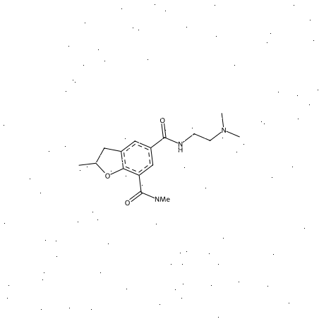 CNC(=O)c1cc(C(=O)NCCN(C)C)cc2c1OC(C)C2